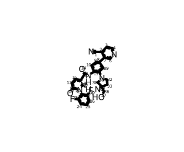 N#Cc1ccncc1-c1ccc(NC(=O)c2ccc(=O)n(-c3c(F)cccc3F)n2)c(N2CC[C@@](N)(CO)C2)c1